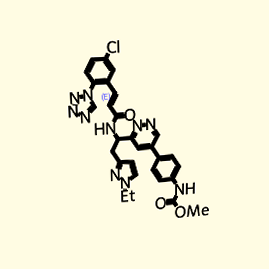 CCn1ccc(CC(NC(=O)/C=C/c2cc(Cl)ccc2-n2cnnn2)c2cc(-c3ccc(NC(=O)OC)cc3)cnn2)n1